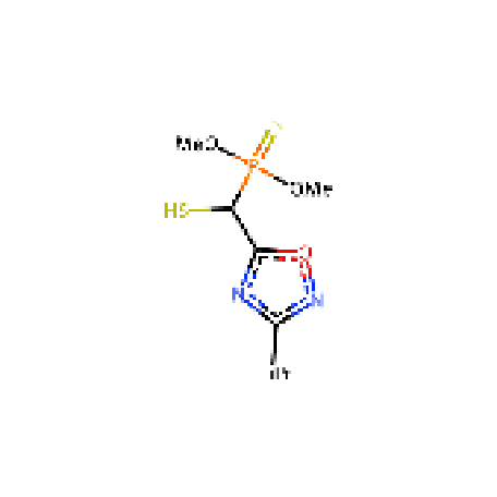 COP(=S)(OC)C(S)c1nc(C(C)C)no1